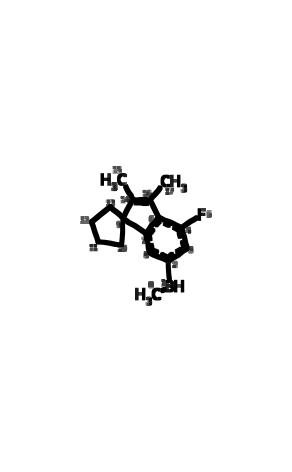 CBc1cc(F)c2c(c1)C1(CCCC1)C(C)=C2C